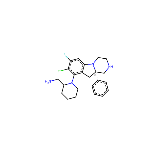 NCC1CCCCN1c1c(Cl)c(F)cc2c1C[C@]1(c3ccccc3)CNCCN21